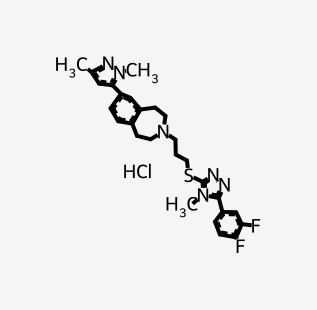 Cc1cc(-c2ccc3c(c2)CCN(CCCSc2nnc(-c4ccc(F)c(F)c4)n2C)CC3)n(C)n1.Cl